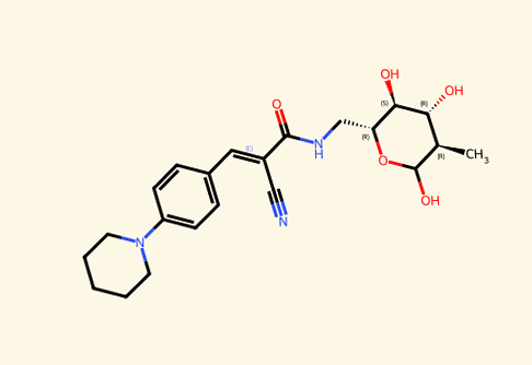 C[C@H]1C(O)O[C@H](CNC(=O)/C(C#N)=C/c2ccc(N3CCCCC3)cc2)[C@@H](O)[C@@H]1O